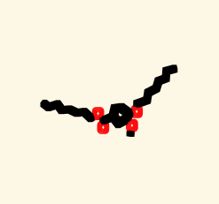 CCCCCCCCOC(=O)c1ccc(OCCCCCCCC)c(OC)c1